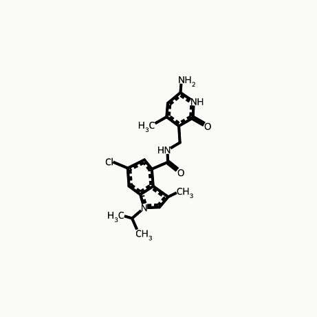 Cc1cc(N)[nH]c(=O)c1CNC(=O)c1cc(Cl)cc2c1c(C)cn2C(C)C